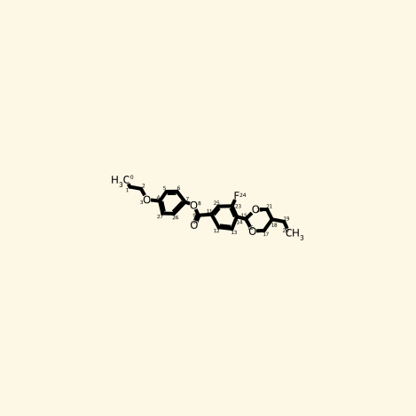 CCCOc1ccc(OC(=O)c2ccc(C3OCC(CC)CO3)c(F)c2)cc1